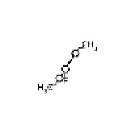 CCCc1ccc(C#CC2CCC(C3CCC(CCC)CC3(F)F)CC2)cc1